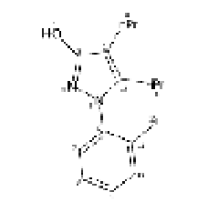 CCCc1c(O)nn(-c2ccccc2C)c1C(C)C